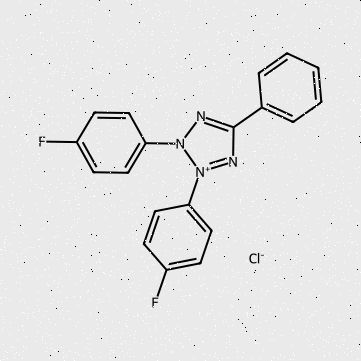 Fc1ccc(-n2nc(-c3ccccc3)n[n+]2-c2ccc(F)cc2)cc1.[Cl-]